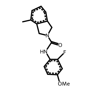 COc1ccc(NC(=O)N2Cc3cccc(C)c3C2)c(F)c1